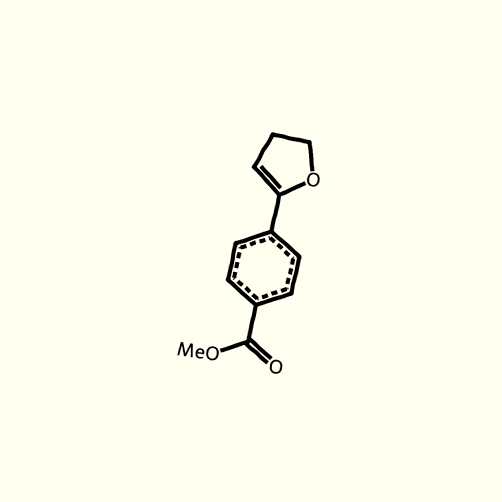 COC(=O)c1ccc(C2=CCCO2)cc1